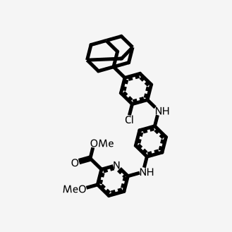 COC(=O)c1nc(Nc2ccc(Nc3ccc(C45CC6CC(CC(C6)C4)C5)cc3Cl)cc2)ccc1OC